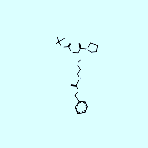 CC(C)(C)OC(=O)N[C@@H](COCCNC(=O)OCc1ccccc1)C(=O)N1CCCC1